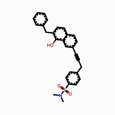 CN(C)S(=O)(=O)c1ccc(CC#Cc2ccc3ccc(Cc4ccccc4)c(O)c3c2)cc1